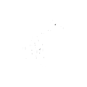 CCOP(=O)(CCC[C@@H](C)[C@H]1CC[C@H]2[C@@H]3[C@H](O)[C@H](CC)[C@@H]4C[C@H](O)CC[C@]4(C)[C@H]3CC[C@]12C)OCC